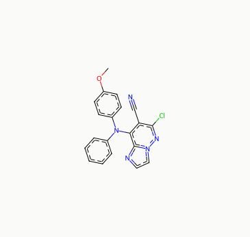 COc1ccc(N(c2ccccc2)c2c(C#N)c(Cl)nn3ccnc23)cc1